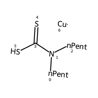 CCCCCN(CCCCC)C(=S)S.[Cu]